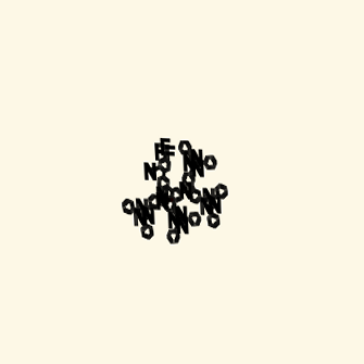 N#Cc1cc(C(F)(F)F)ccc1-c1ccc(-n2c3ccc(-c4nc(-c5ccccc5)nc(-c5ccccc5)n4)cc3c3cc(-c4nc(-c5ccccc5)nc(-c5ccccc5)n4)ccc32)c(-c2cc(-n3c4ccc(-c5nc(-c6ccccc6)nc(-c6ccccc6)n5)cc4c4cc(-c5nc(-c6ccccc6)nc(-c6ccccc6)n5)ccc43)ccc2C#N)c1